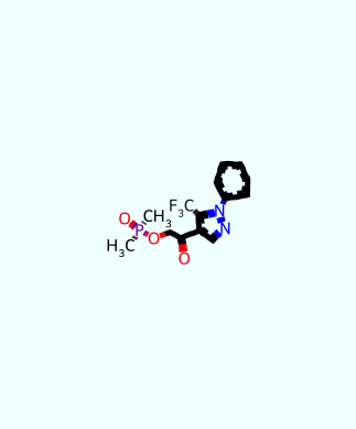 CP(C)(=O)OCC(=O)c1cnn(-c2ccccc2)c1C(F)(F)F